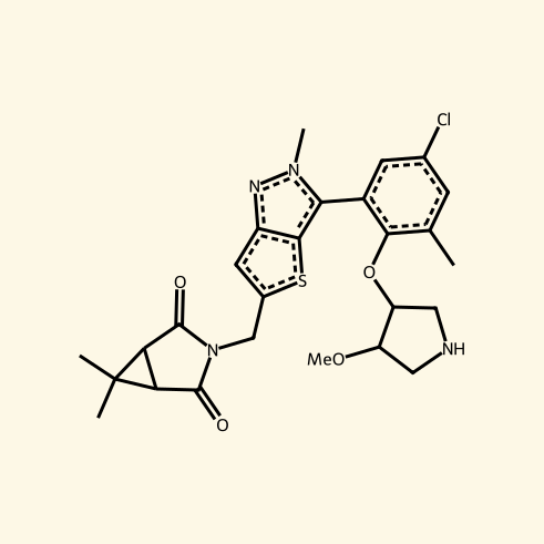 COC1CNCC1Oc1c(C)cc(Cl)cc1-c1c2sc(CN3C(=O)C4C(C3=O)C4(C)C)cc2nn1C